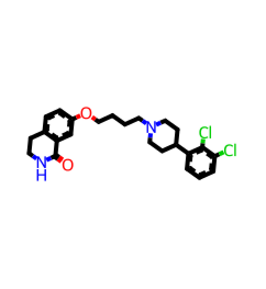 O=C1NCCc2ccc(OCCCCN3CCC(c4cccc(Cl)c4Cl)CC3)cc21